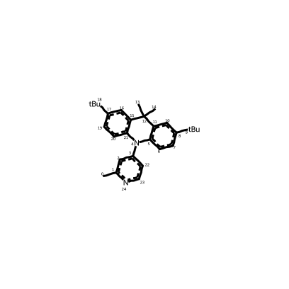 Cc1cc(N2c3ccc(C(C)(C)C)cc3C(C)(C)c3cc(C(C)(C)C)ccc32)ccn1